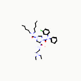 CCCCCN(CCCCC)C(=O)N1CCN(C(=O)N(c2ccccc2)c2cccc(Cl)c2)[C@H](C(=O)NCCN(CC)CC)C1